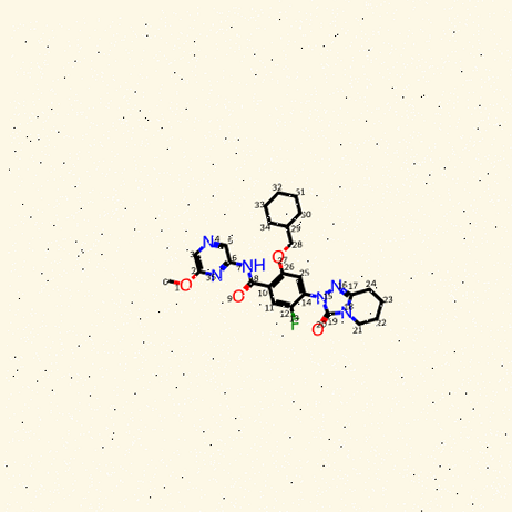 COc1cncc(NC(=O)c2cc(F)c(-n3nc4n(c3=O)CCCC4)cc2OCC2CCCCC2)n1